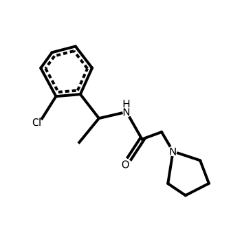 CC(NC(=O)CN1CCCC1)c1ccccc1Cl